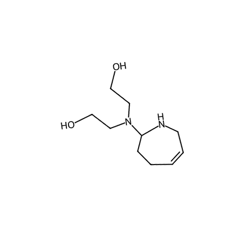 OCCN(CCO)C1CCC=CCN1